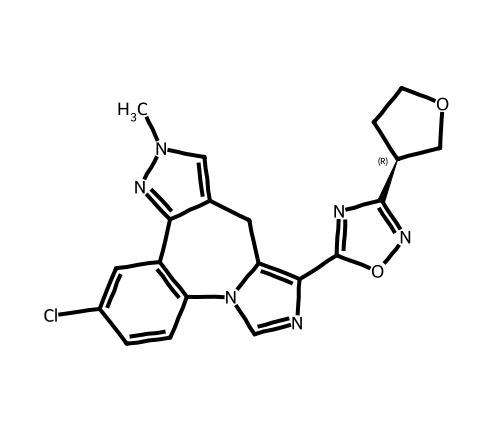 Cn1cc2c(n1)-c1cc(Cl)ccc1-n1cnc(-c3nc([C@H]4CCOC4)no3)c1C2